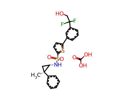 C[C@]1(c2ccccc2)C[C@@H]1NS(=O)(=O)c1ccc(-c2cccc(C(F)(F)CO)c2)s1.O=C(O)O